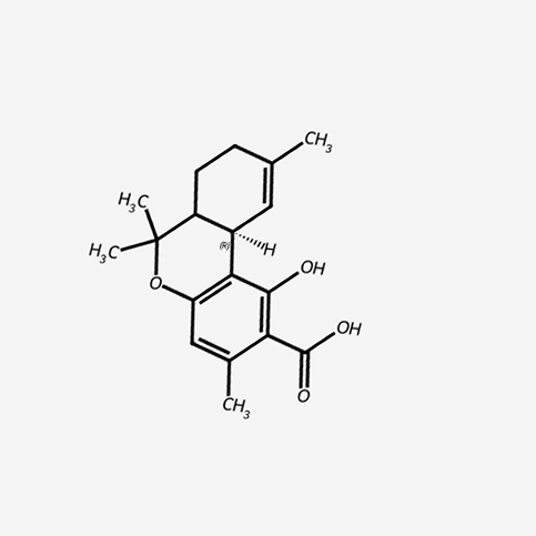 CC1=C[C@H]2c3c(cc(C)c(C(=O)O)c3O)OC(C)(C)C2CC1